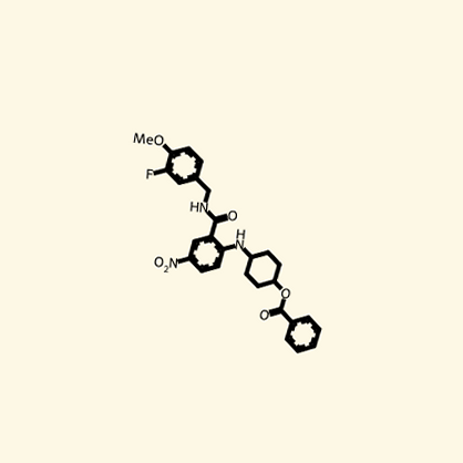 COc1ccc(CNC(=O)c2cc([N+](=O)[O-])ccc2NC2CCC(OC(=O)c3ccccc3)CC2)cc1F